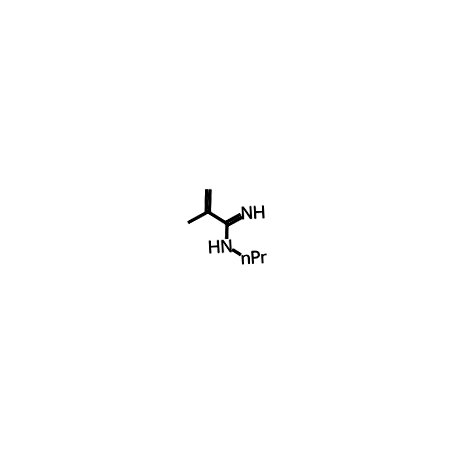 C=C(C)C(=N)NCCC